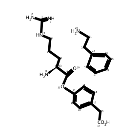 N=C(N)NCCC[C@H](N)C(=O)Oc1ccc(CC(=O)O)cc1.NCCc1ccccc1